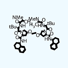 CN[C@@H](C)C(=O)N[C@H](C(=O)N1C[C@@H](OCCO[C@H]2C[C@@H](C(=O)N[C@@H]3CCCc4ccccc43)N(C(=O)[C@@H](NC(=O)[C@H](C)NC)C(C)(C)C)C2)C[C@H]1C(=O)N[C@@H]1CCCc2ccccc21)C(C)(C)C